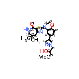 COCC(O)Cn1cc(-c2ccc3c(c2)N(c2nc4c(s2)C(=O)NCC(C)(C)C4)CCO3)cn1